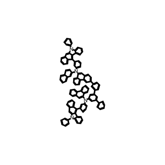 c1ccc(-c2cc(-c3cccc(-c4ccc5cc(N(c6cccc(-c7c8ccccc8cc8c7c7ccccc7n8-c7ccccc7)c6)c6ccc7ccccc7c6)c6ccccc6c5c4)c3)cc(N(c3cccc(-c4c5ccccc5cc5c4c4ccccc4n5-c4ccccc4)c3)c3cc4ccccc4c4ccccc34)c2)cc1